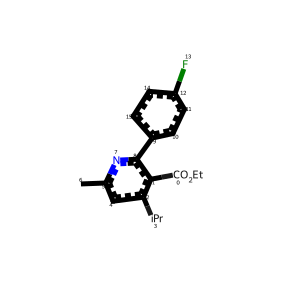 CCOC(=O)c1c(C(C)C)cc(C)nc1-c1ccc(F)cc1